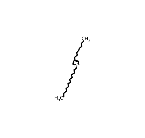 CCCCCCCCCCCCCC[n+]1ccc(CCCCCCCCC)cc1